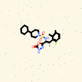 Cc1ccc(F)c([C@H](C)[C@H](NS(=O)(=O)N2CCC(C3CCCCC3)CC2)c2n[nH]c(=O)o2)c1C